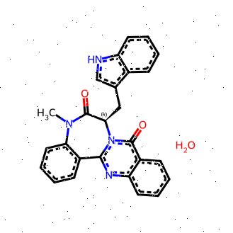 CN1C(=O)[C@@H](Cc2c[nH]c3ccccc23)n2c(nc3ccccc3c2=O)-c2ccccc21.O